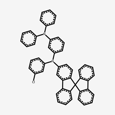 Clc1cccc(N(c2cccc(N(c3ccccc3)c3ccccc3)c2)c2ccc3c(c2)-c2ccccc2C32c3ccccc3-c3ccccc32)c1